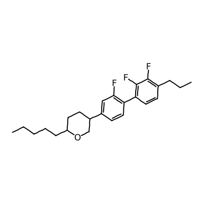 CCCCCC1CCC(c2ccc(-c3ccc(CCC)c(F)c3F)c(F)c2)CO1